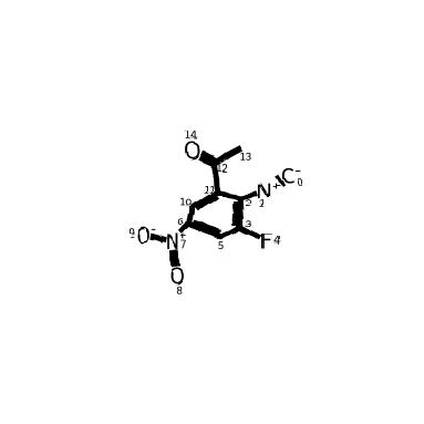 [C-]#[N+]c1c(F)cc([N+](=O)[O-])cc1C(C)=O